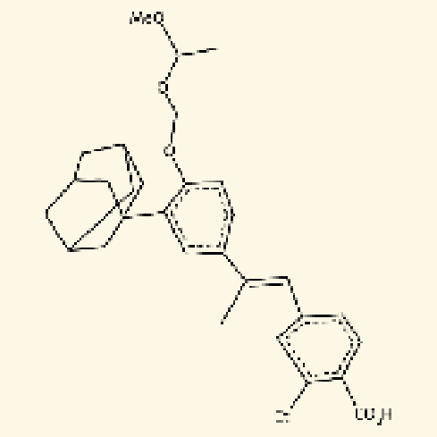 CCc1cc(C=C(C)c2ccc(OCOC(C)OC)c(C34CC5CC(CC(C5)C3)C4)c2)ccc1C(=O)O